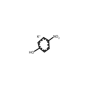 O=[N+]([O-])c1ccc(O)cc1.[K+]